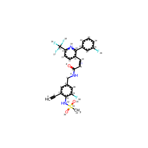 C#Cc1cc(CNC(=O)/C=C\c2ccc(C(F)(F)F)nc2-c2cccc(F)c2)cc(F)c1NS(C)(=O)=O